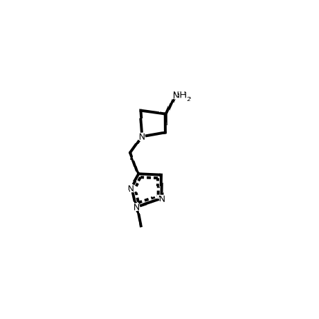 Cn1ncc(CN2CC(N)C2)n1